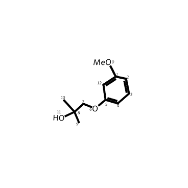 COc1cccc(OCC(C)(C)O)c1